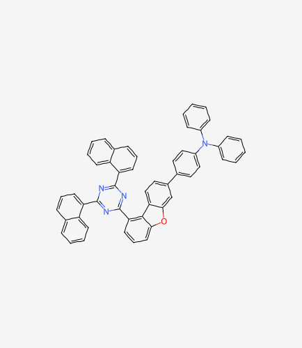 c1ccc(N(c2ccccc2)c2ccc(-c3ccc4c(c3)oc3cccc(-c5nc(-c6cccc7ccccc67)nc(-c6cccc7ccccc67)n5)c34)cc2)cc1